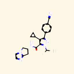 CC(C)n1nc(-c2ccc(C#N)cc2)c(C2CC2)c1C(=O)N[C@@H]1Cc2nccn2C1